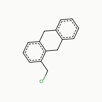 ClCc1cccc2c1Cc1ccccc1C2